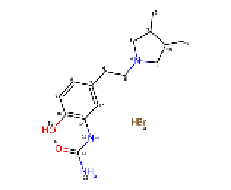 Br.CC1CN(CCc2ccc(O)c(NC(N)=O)c2)CC1C